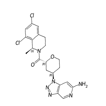 C[C@H]1c2c(Cl)cc(Cl)cc2CCN1C(=O)[C@H]1C[C@H](n2nnc3cnc(N)cc32)CCO1